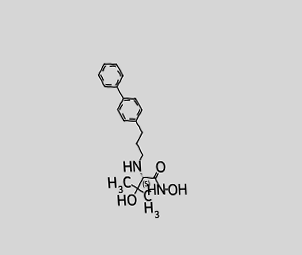 CC(C)(O)[C@H](NCCCc1ccc(-c2ccccc2)cc1)C(=O)NO